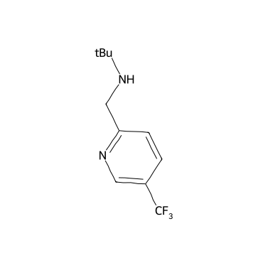 CC(C)(C)NCc1ccc(C(F)(F)F)cn1